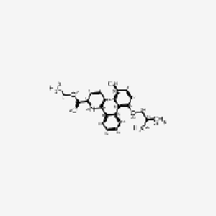 CCOC(=O)c1cccc(-c2ccccc2-c2cc(Cl)ccc2OCC(C)C)n1